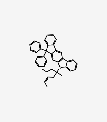 C/C=C\CC(C)(CCC)n1c2ccccc2c2cc3c(cc21)C(c1ccccc1)(c1ccccc1)c1ccccc1-3